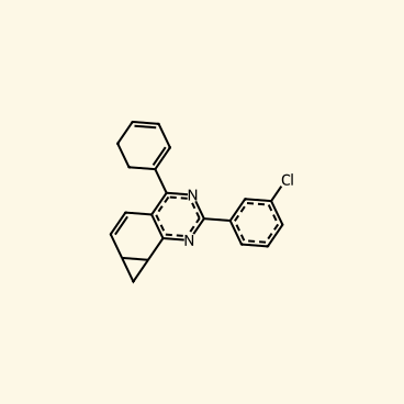 Clc1cccc(-c2nc(C3=CC=CCC3)c3c(n2)C2CC2C=C3)c1